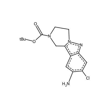 CC(C)(C)OC(=O)N1CCn2nc3cc(Cl)c(N)cc3c2C1